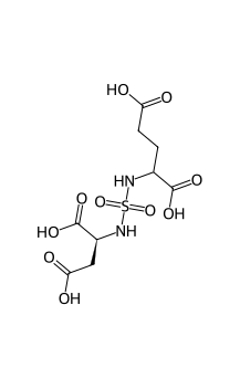 O=C(O)CCC(NS(=O)(=O)N[C@@H](CC(=O)O)C(=O)O)C(=O)O